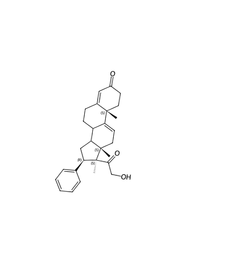 C[C@]12CCC(=O)C=C1CCC1C2=CC[C@@]2(C)C1C[C@H](c1ccccc1)[C@]2(C)C(=O)CO